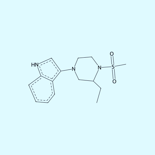 CCC1CN(c2c[nH]c3ccccc23)CCN1S(C)(=O)=O